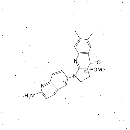 CO[C@@]12CCN(c3ccc4nc(N)ccc4c3)C1=Nc1cc(C)c(C)cc1C2=O